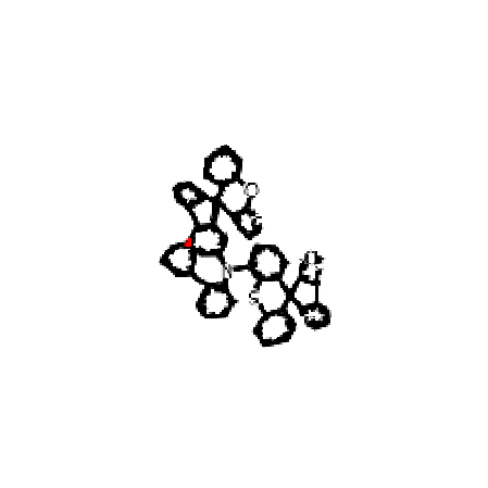 c1ccc(-c2ccccc2N(c2ccc3c(c2)C2(c4ccccc4Oc4ccccc42)c2ccccc2-3)c2cccc3c2Sc2ccccc2C32c3ccccc3-c3ccccc32)cc1